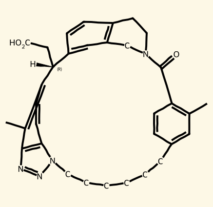 Cc1cc2ccc1C(=O)N1CCc3ccc(cc3C1)[C@@H](CC(=O)O)c1ccc3c(nnn3CCCCCC2)c1C